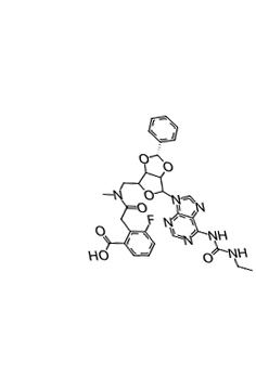 CCNC(=O)Nc1ncnc2c1ncn2C1OC(CN(C)C(=O)Cc2c(F)cccc2C(=O)O)C2O[C@H](c3ccccc3)OC21